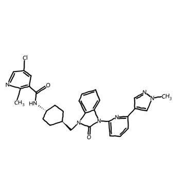 Cc1ncc(Cl)cc1C(=O)N[C@H]1CC[C@H](Cn2c(=O)n(-c3cccc(-c4cnn(C)c4)n3)c3ccccc32)CC1